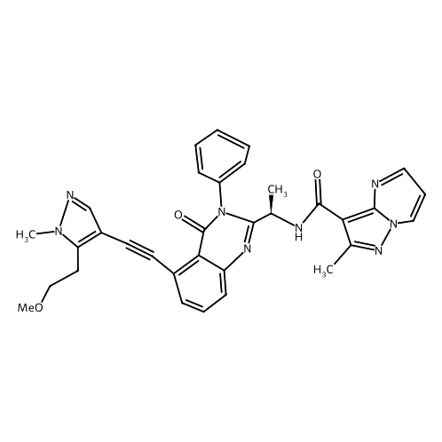 COCCc1c(C#Cc2cccc3nc([C@@H](C)NC(=O)c4c(C)nn5cccnc45)n(-c4ccccc4)c(=O)c23)cnn1C